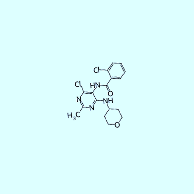 Cc1nc(Cl)c(NC(=O)c2ccccc2Cl)c(NC2CCOCC2)n1